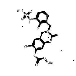 CNS(=O)(=O)Nc1cccc(CN2Cc3cc(Cl)c(OC(=O)OC(C)(C)C)cc3OC2=O)c1F